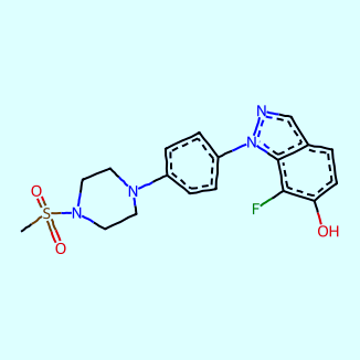 CS(=O)(=O)N1CCN(c2ccc(-n3ncc4ccc(O)c(F)c43)cc2)CC1